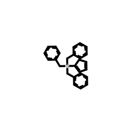 C1=CC[C]([Ti]([CH2]c2ccccc2)([CH2]c2ccccc2)[CH2]c2ccccc2)=C1